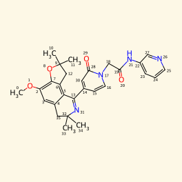 COc1cc2c(c3c1OC(C)(C)C3)C(c1ccn(CC(=O)Nc3cccnc3)c(=O)c1)=NC(C)(C)C2